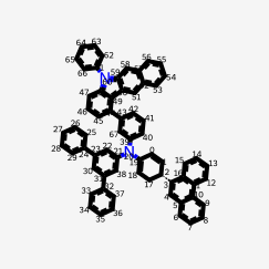 C1=C[C@H](c2cc3ccccc3c3ccccc23)CC=C1N(c1cc(-c2ccccc2)cc(-c2ccccc2)c1)c1cccc(-c2cccc3c2c2cc4ccccc4cc2n3-c2ccccc2)c1